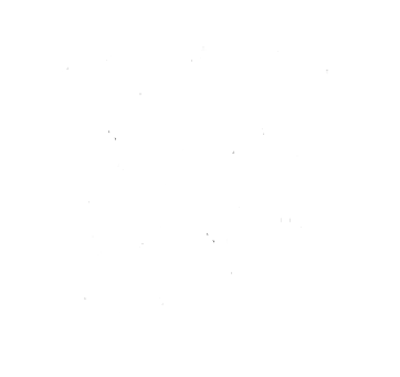 O=C(c1cc(-c2ccccc2)c(=O)n2ccc3ccsc3c12)N1CCCC1CO